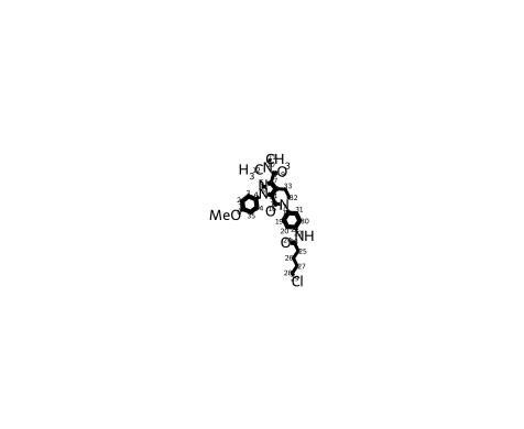 COc1ccc(-n2nc(C(=O)N(C)C)c3c2C(=O)N(c2ccc(NC(=O)CCCCCl)cc2)CC3)cc1